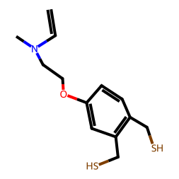 C=CN(C)CCOc1ccc(CS)c(CS)c1